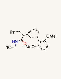 COc1cccc(OC)c1-c1cccc(C(CC(C)C)C(=O)NCC#N)c1